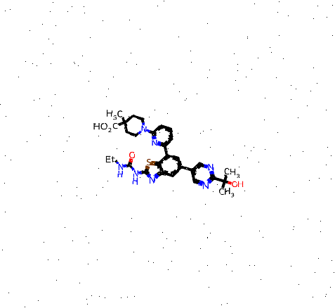 CCNC(=O)Nc1nc2cc(-c3cnc(C(C)(C)O)nc3)cc(-c3cccc(N4CCC(C)(C(=O)O)CC4)n3)c2s1